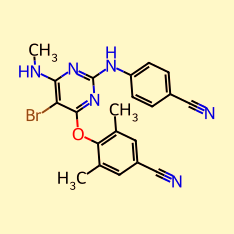 CNc1nc(Nc2ccc(C#N)cc2)nc(Oc2c(C)cc(C#N)cc2C)c1Br